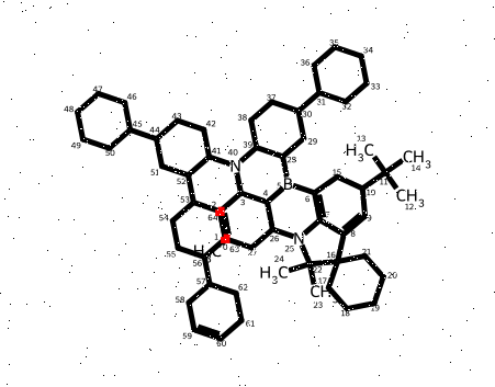 CC1=CC2C3B(C4=C5C(=CC(C(C)(C)C)C4)C4(CCCCC4)C(C)(C)N5C3C1)C1CC(C3CCCCC3)CCC1N2C1CCC(C2CCCCC2)CC1C1CCC(C2CC=CCC2)CC1